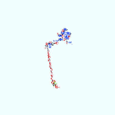 CCN/C(=C\C(C)=N)C(=O)Nc1nc2cc(C(N)=O)cc(OC)c2n1CCCCn1c(NC(=O)c2cc(C)nn2CC)nc2cc(C(N)=O)cc(OCCCN3CCN(CCNC(=O)OCc4ccc(NC(=O)[C@H](C)NC(=O)[C@@H](NC(=O)CCOCCOCCOCCOCCOCCOCCOCCOCCOCCOCCC(=O)Oc5c(F)c(F)c(S(=O)(=O)O)c(F)c5F)C(C)C)cc4)CC3)c21